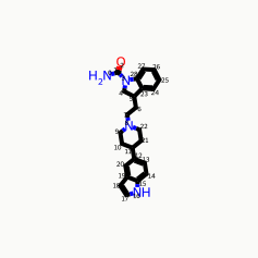 NC(=O)N1CC(CCN2CCC(c3ccc4[nH]ccc4c3)CC2)c2ccccc21